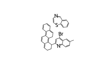 C1=CSc2ccccc2C=N1.Cc1ccc2nc(C3CCC=c4ccc5c(c43)CC=c3ccccc3=5)cc(Br)c2c1